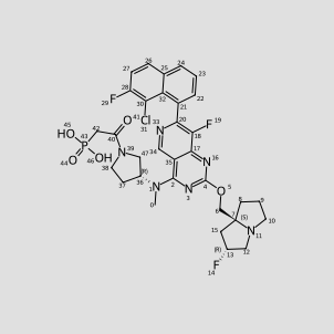 CN(c1nc(OC[C@@]23CCCN2C[C@H](F)C3)nc2c(F)c(-c3cccc4ccc(F)c(Cl)c34)ncc12)[C@@H]1CCN(C(=O)CP(=O)(O)O)C1